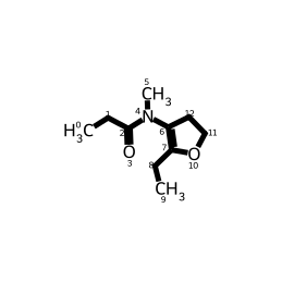 CCC(=O)N(C)C1=C(CC)OCC1